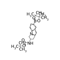 CC(C)(C)OC(=O)NC1Cc2cc3cc(B4OC(C)(C)C(C)(C)O4)ccc3n2C1